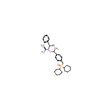 C=C(C)N(OC(C)c1ccc(CP(=O)(C2CCCCC2)C2CCCCC2)cc1)C(c1ccccc1)C(C)C